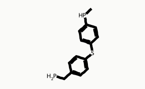 CPc1ccc(Sc2ccc(CP)cc2)cc1